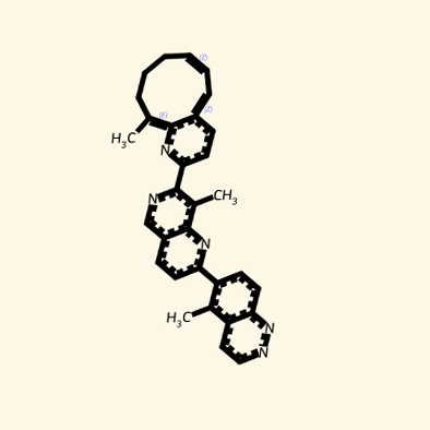 C\C1=c2/nc(-c3ncc4ccc(-c5ccc6nnccc6c5C)nc4c3C)cc/c2=C/C=C\CCC1